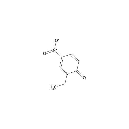 CCn1cc([N+](=O)[O-])ccc1=O